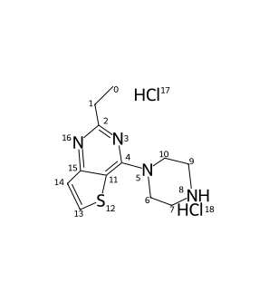 CCc1nc(N2CCNCC2)c2sccc2n1.Cl.Cl